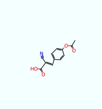 CC(=O)Oc1ccc(/C=C(\C#N)C(=O)O)cc1